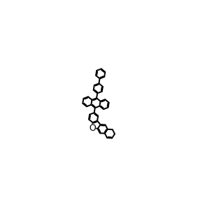 C1=Cc2cc3oc4ccc(-c5c6ccccc6c(-c6ccc(-c7ccccc7)cc6)c6ccccc56)cc4c3cc2CC1